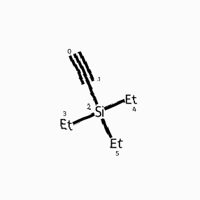 [C]#C[Si](CC)(CC)CC